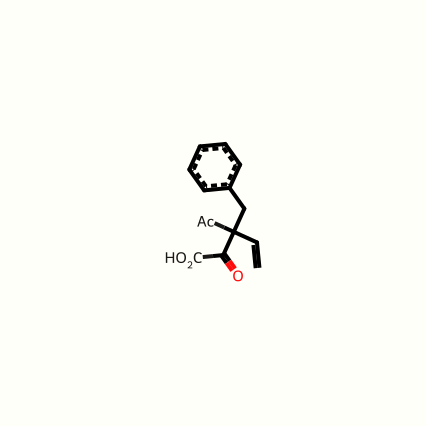 C=CC(Cc1ccccc1)(C(C)=O)C(=O)C(=O)O